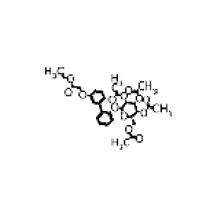 CCOC(=O)COc1cccc(-c2ccccc2O[C@@H]2O[C@H](COC(C)=O)[C@@H](OC(C)=O)[C@H](OC(C)=O)[C@@H]2OC(C)=O)c1